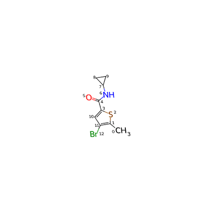 Cc1sc(C(=O)NC2CC2)cc1Br